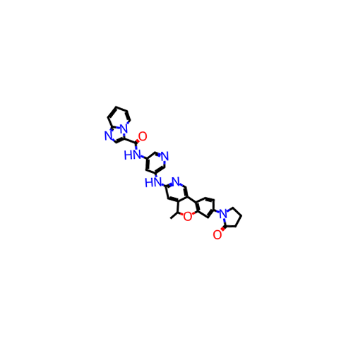 CC1Oc2cc(N3CCCC3=O)ccc2-c2cnc(Nc3cncc(NC(=O)c4cnc5ccccn45)c3)cc21